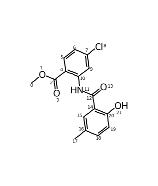 COC(=O)c1ccc(Cl)cc1NC(=O)c1cc(C)ccc1O